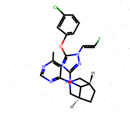 Cc1cc(N2C[C@@H]3CC[C@@H](C2)C3Nc2nc(Oc3cccc(Cl)c3)n(C=CF)n2)ncn1